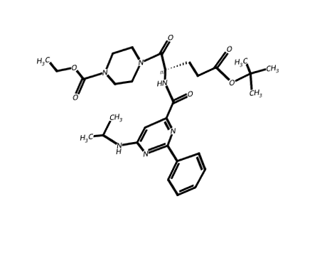 CCOC(=O)N1CCN(C(=O)[C@H](CCC(=O)OC(C)(C)C)NC(=O)c2cc(NC(C)C)nc(-c3ccccc3)n2)CC1